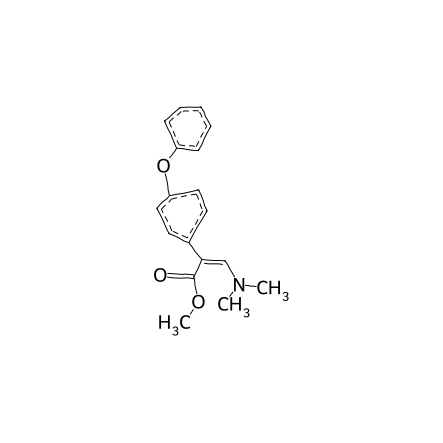 COC(=O)/C(=C\N(C)C)c1ccc(Oc2ccccc2)cc1